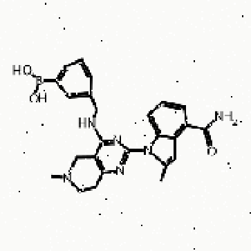 Cc1cc2c(C(N)=O)cccc2n1-c1nc2c(c(NCc3cccc(B(O)O)c3)n1)CN(C)CC2